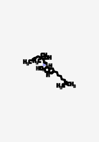 CC#CCC(C)(C)[C@H](O)/C=C/[C@@H]1[C@H]2CC(CCCCCN(C)C)=C[C@H]2C[C@H]1O